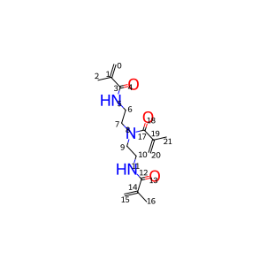 C=C(C)C(=O)NCCN(CCNC(=O)C(=C)C)C(=O)C(=C)C